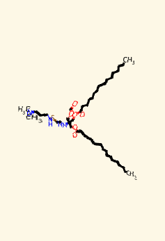 CCCCCCCCCCCCCCCC(=O)OCC(COC=O)(COC(=O)CCCCCCCCCCCCCCC)NCCSNCCCN(C)C